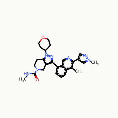 CNC(=O)N1CCc2c(c(-c3cccc4c(C)c(-c5cnn(C)c5)ncc34)nn2C2CCOCC2)C1